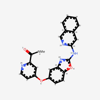 CNC(=O)c1cc(Oc2ccc3oc(Nc4cc5ccccc5cn4)nc3c2)ccn1